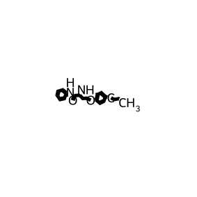 CCCCc1ccc(OCCC(N)C(=O)Nc2ccccc2)cc1